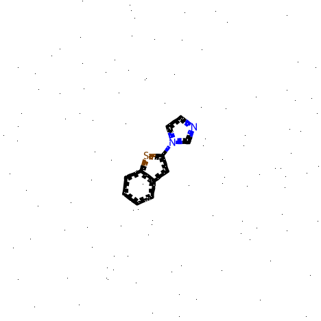 c1ccc2sc(-n3ccnc3)cc2c1